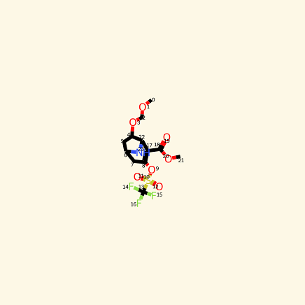 COCOC1CC2CC(OS(=O)(=O)C(F)(F)F)=C(C(=O)OC)C1N2